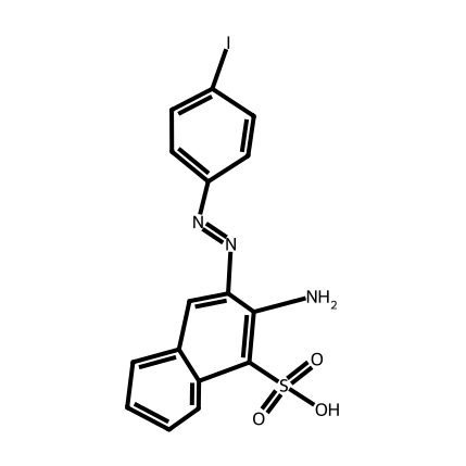 Nc1c(N=Nc2ccc(I)cc2)cc2ccccc2c1S(=O)(=O)O